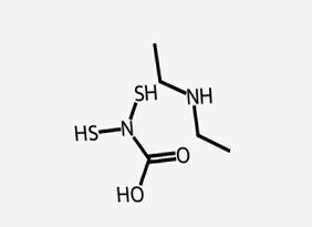 CCNCC.O=C(O)N(S)S